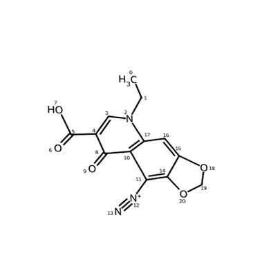 CCn1cc(C(=O)O)c(=O)c2c([N+]#N)c3c(cc21)OCO3